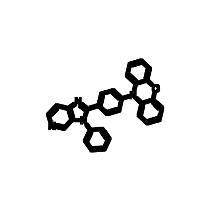 c1ccc(-n2c(-c3ccc(N4c5ccccc5Oc5ccccc54)cc3)nc3ccncc32)cc1